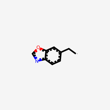 [CH2]Cc1ccc2ncoc2c1